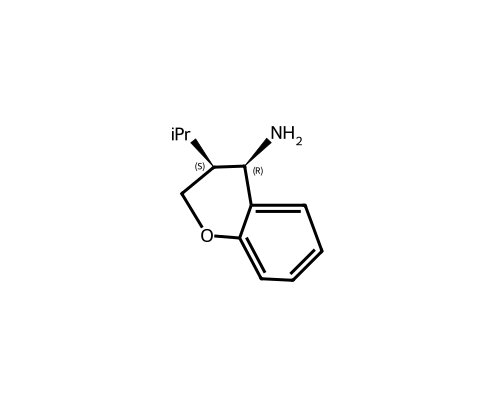 CC(C)[C@@H]1COc2ccccc2[C@@H]1N